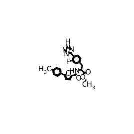 CCOC(=O)C(Cc1ccc(-c2nn[nH]n2)c(F)c1)NC(=O)c1ccc(-c2ccc(C)cc2)o1